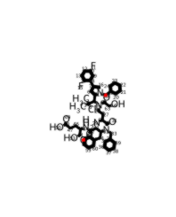 CC(C)(C)C(c1cc(-c2cc(F)ccc2F)cn1Cc1ccccc1)N(CCC(N)C(=O)N(Cc1ccccc1)C(CC(=O)NC(CCC(=O)O)C(=O)O)Cc1ccccc1)C(=O)CO